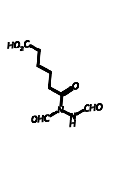 O=CNN(C=O)C(=O)CCCCC(=O)O